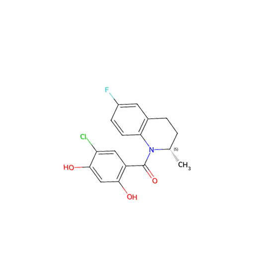 C[C@H]1CCc2cc(F)ccc2N1C(=O)c1cc(Cl)c(O)cc1O